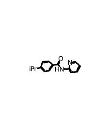 CC(C)c1ccc(C(=O)Nc2ccccn2)cc1